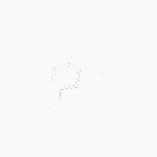 CCOc1cc(O)cc(OCC)c1C=O